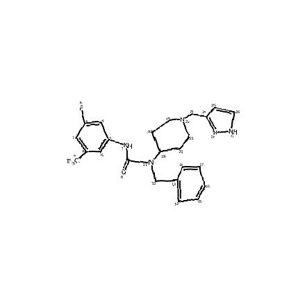 O=C(Nc1cc(F)cc(C(F)(F)F)c1)N(Cc1ccccc1)C1CCN(Cc2cc[nH]n2)CC1